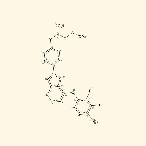 COCCN(Cc1ccc(-c2cc3nccc(Oc4ccc(N)c(F)c4F)c3s2)nc1)C(=O)O